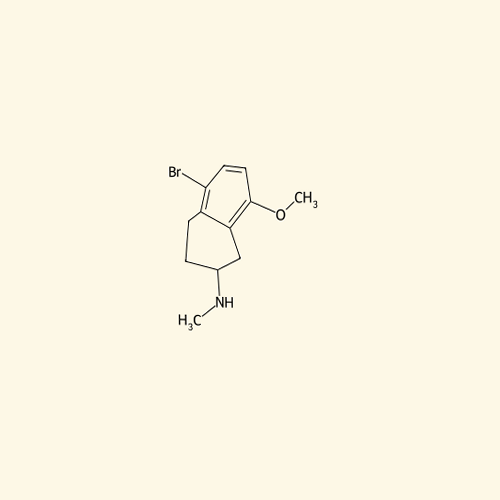 CNC1CCc2c(Br)ccc(OC)c2C1